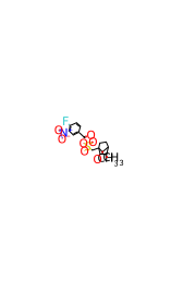 CC1(C)C2CCC1(CS(=O)(=O)OC(=O)c1ccc(F)c([N+](=O)[O-])c1)C(=O)C2